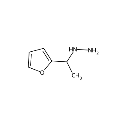 CC(NN)c1ccco1